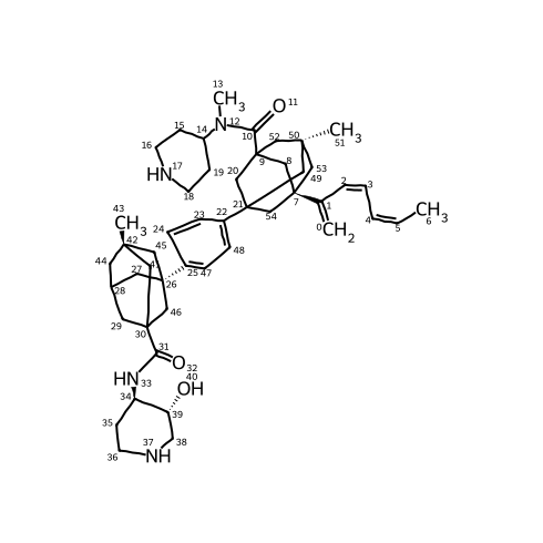 C=C(/C=C\C=C/C)[C@@]12CC3(C(=O)N(C)C4CCNCC4)CC(c4ccc([C@]56CC7CC(C(=O)N[C@@H]8CCNC[C@H]8O)(C[C@](C)(C7)C5)C6)cc4)(C[C@@](C)(C3)C1)C2